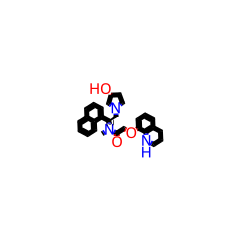 CN(C(=O)COc1cccc2c1NCCC2)[C@H](CN1CCC(O)C1)c1cccc2ccccc12